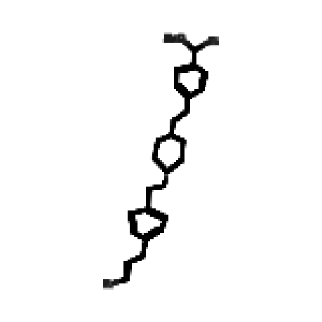 CC/C=C/Cc1ccc(CC[C@H]2CC[C@H](CCc3ccc(C(CC)OC)cc3)CC2)cc1